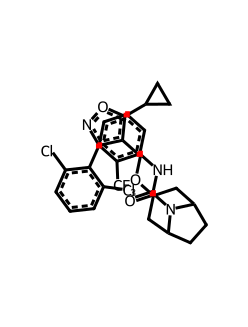 O=C(Nc1ccccc1C(F)(F)F)N1C2CCC1CC(OCc1c(-c3c(Cl)cccc3Cl)noc1C1CC1)C2